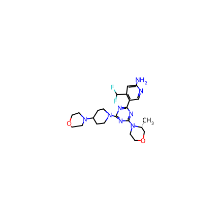 C[C@@H]1COCCN1c1nc(-c2cnc(N)cc2C(F)F)nc(N2CCC(N3CCOCC3)CC2)n1